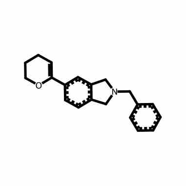 C1=C(c2ccc3c(c2)CN(Cc2ccccc2)C3)OCCC1